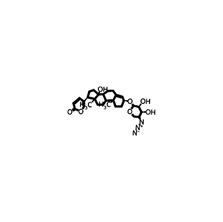 C[C@]12CC[C@H](OC3OCC(N=[N+]=[N-])[C@H](O)[C@@H]3O)C=C1CCC1C2CC[C@]2(C)[C@@H](c3ccc(=O)oc3)CC[C@]12O